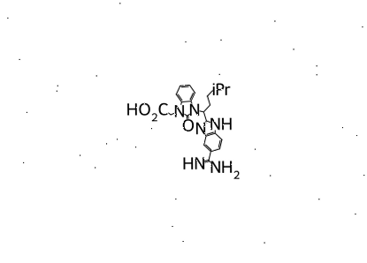 CC(C)CCC(c1nc2cc(C(=N)N)ccc2[nH]1)n1c(=O)n(CC(=O)O)c2ccccc21